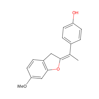 COc1ccc2c(c1)OC(=C(C)c1ccc(O)cc1)C2